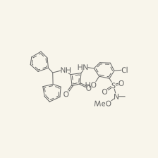 CON(C)S(=O)(=O)c1c(Cl)ccc(Nc2c(NC(c3ccccc3)c3ccccc3)c(=O)c2=O)c1O